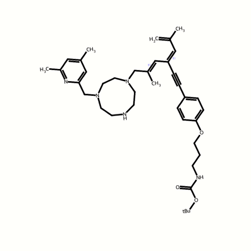 C=C(C)/C=C(C#Cc1ccc(OCCCNC(=O)OC(C)(C)C)cc1)\C=C(/C)CN1CCNCCN(Cc2cc(C)cc(C)n2)CC1